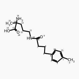 Cc1ccc(CCCC(=O)NCCCC(C)(N)C(=O)O)cc1